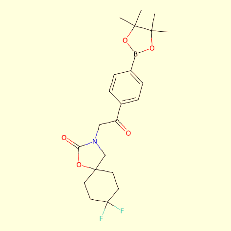 CC1(C)OB(c2ccc(C(=O)CN3CC4(CCC(F)(F)CC4)OC3=O)cc2)OC1(C)C